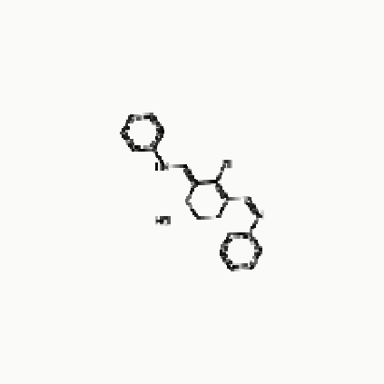 Cl.ClC1=C(/C=N\c2ccccc2)CCC/C1=C\Nc1ccccc1